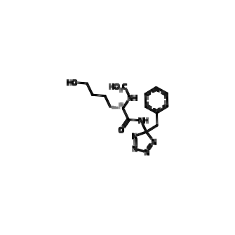 O=C(O)N[C@@H](CCCCO)C(=O)NC1(Cc2ccccc2)N=NN=N1